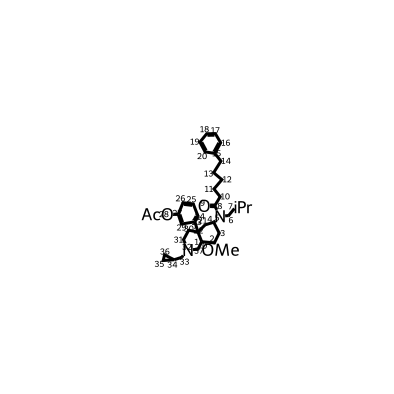 COC12CCC(N(CC(C)C)C(=O)CCCCCc3ccccc3)CC1(c1cccc(OC(C)=O)c1)CCN(CC1CC1)C2